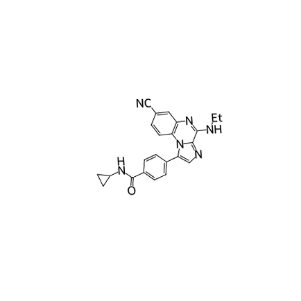 CCNc1nc2cc(C#N)ccc2n2c(-c3ccc(C(=O)NC4CC4)cc3)cnc12